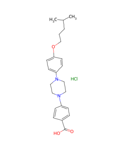 CC(C)CCCOc1ccc(N2CCN(c3ccc(C(=O)O)cc3)CC2)cc1.Cl